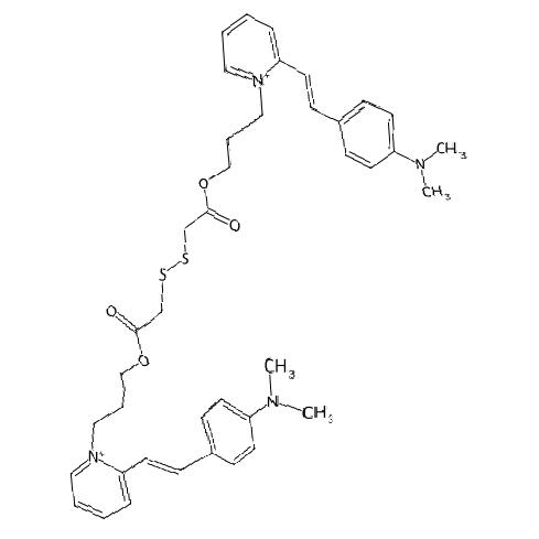 CN(C)c1ccc(/C=C/c2cccc[n+]2CCCOC(=O)CSSCC(=O)OCCC[n+]2ccccc2/C=C/c2ccc(N(C)C)cc2)cc1